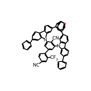 N#Cc1ccc(-c2cc(-n3c4cc(-c5ccccc5)ccc4c4ccc(-c5ccccc5)cc43)c(C#N)c(-n3c4cc(-c5ccccc5)ccc4c4ccc(-c5ccccc5)cc43)c2)c(C(F)(F)F)c1